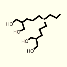 CCCP(CCCC(CO)CO)CCCC(CO)CO